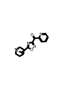 O=C(c1ccccn1)c1noc(C2CN3CCC2CC3)n1